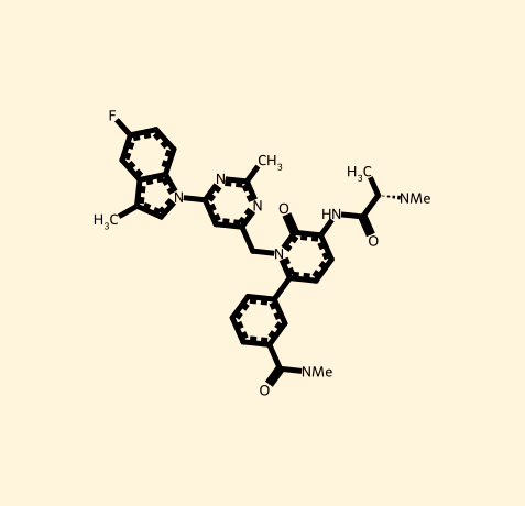 CNC(=O)c1cccc(-c2ccc(NC(=O)[C@H](C)NC)c(=O)n2Cc2cc(-n3cc(C)c4cc(F)ccc43)nc(C)n2)c1